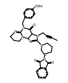 CC#CCN1C(N2CCC[C@@H](N3C(=O)c4ccccc4C3=O)C2)=NC2C1C(=O)N(Cc1ccc(OC)cc1)C1=NCCCN12